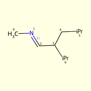 C/N=C/C(CC(C)C)C(C)C